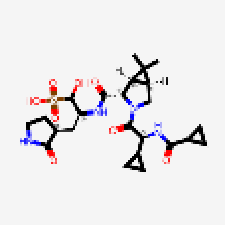 CC1(C)[C@@H]2[C@@H](C(=O)N[C@@H](C[C@@H]3CCNC3=O)C(O)S(=O)(=O)O)N(C(=O)[C@@H](NC(=O)C3CC3)C3CC3)C[C@@H]21